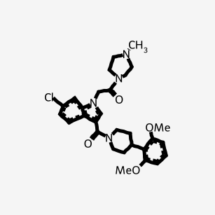 COc1cccc(OC)c1C1CCN(C(=O)c2cn(CC(=O)N3CCN(C)CC3)c3cc(Cl)ccc23)CC1